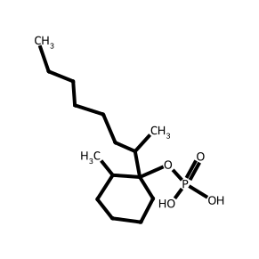 CCCCCCC(C)C1(OP(=O)(O)O)CCCCC1C